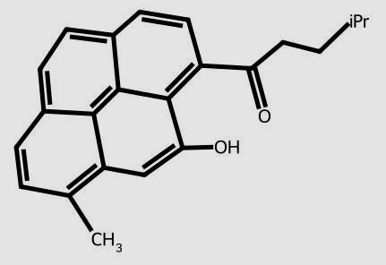 Cc1ccc2ccc3ccc(C(=O)CCC(C)C)c4c(O)cc1c2c34